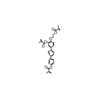 C=C(C)C(=O)OCCOc1ccc(-c2ccc(-c3ccc(OC(=O)C(=C)C)cc3)cc2)cc1OC(=O)C(=C)C